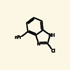 CCCc1cccc2[nH]c(Cl)nc12